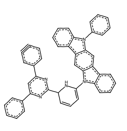 c1ccc(-c2cc(-c3ccccc3)nc(C3C=CC=C(n4c5ccccc5c5cc6c(cc54)c4ccccc4n6-c4ccccc4)N3)n2)cc#1